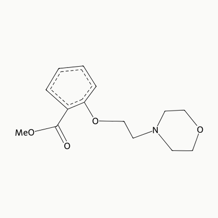 COC(=O)c1ccccc1OCCN1CCOCC1